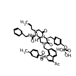 C=CCN1CC(=O)N2[C@@H](Cc3ccc(OP(=O)(O)O)cc3)C(=O)N(Cc3cccc4c(C(C)=O)cn(S(=O)(=O)c5ccc(C)cc5)c34)C[C@@H]2N1C(=O)NCc1ccccc1